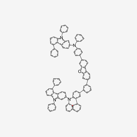 c1ccc(-c2cc(-c3cccc(-c4ccc5c(c4)oc4cc(-c6ccc(N(c7ccccc7)c7ccc8c9c(-c%10ccccc%10)cccc9n(-c9ccccc9)c8c7)cc6)ccc45)c3)ccc2N(c2ccccc2)c2ccc3c4c(-c5ccccc5)cccc4n(-c4ccccc4)c3c2)cc1